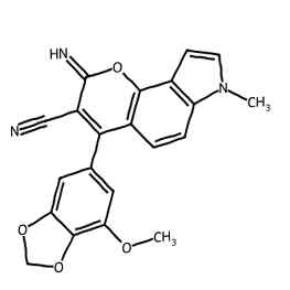 COc1cc(-c2c(C#N)c(=N)oc3c2ccc2c3ccn2C)cc2c1OCO2